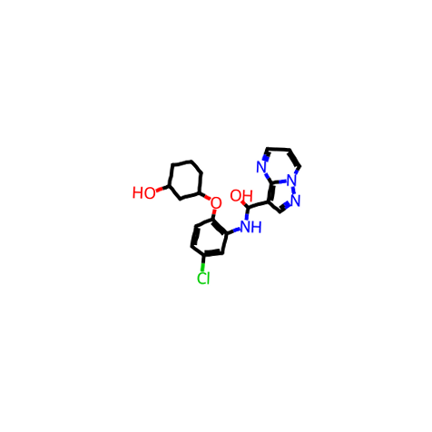 OC1CCCC(Oc2ccc(Cl)cc2NC(O)c2cnn3cccnc23)C1